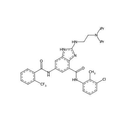 Cc1c(Cl)cccc1NC(=O)c1cc(NC(=O)c2ccccc2C(F)(F)F)cc2[nH]c(NCCN(C(C)C)C(C)C)nc12